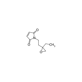 CCC1(CCN2C(=O)C=CC2=O)CO1